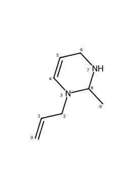 C=CCN1C=CCNC1C